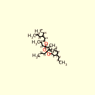 CCCC(CC)CCOC(CC)(CCC)OC(CC)(CCC)OCCC(CC)CCC